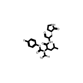 [2H]C([2H])N(C(=O)Oc1ccc(F)cc1)C(CC(C)C)C(=O)NC(C=O)C[C@@H]1CCNC1=O